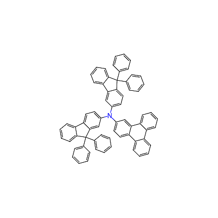 c1ccc(C2(c3ccccc3)c3ccccc3-c3cc(N(c4ccc5c(c4)C(c4ccccc4)(c4ccccc4)c4ccccc4-5)c4ccc5c6ccccc6c6ccccc6c5c4)ccc32)cc1